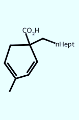 CCCCCCCCC1(C(=O)O)C=CC(C)=CC1